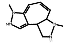 CN1NC=C2C1=CC=CC1C2CNN1C